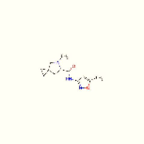 Cc1cc(NC(=O)C2CC3(CC3)CN2C)no1